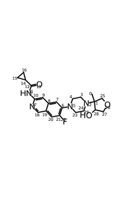 CC1(N2CCN(c3cc4cc(NC(=O)C5CC5)ncc4cc3F)CC2)COCC1O